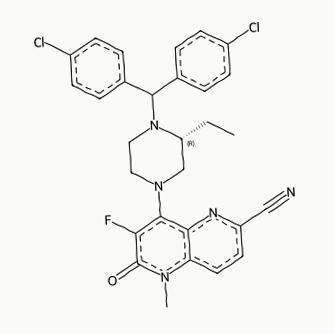 CC[C@@H]1CN(c2c(F)c(=O)n(C)c3ccc(C#N)nc23)CCN1C(c1ccc(Cl)cc1)c1ccc(Cl)cc1